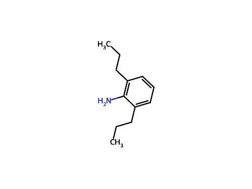 CCCc1cccc(CCC)c1N